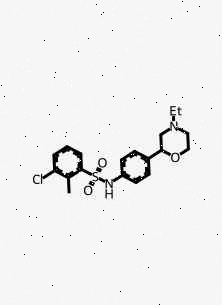 CCN1CCOC(c2ccc(NS(=O)(=O)c3cccc(Cl)c3C)cc2)C1